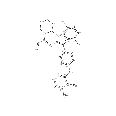 C=CC(=O)N1CCCCC1c1nc(-c2ccc(Oc3cccc(OC)c3F)cc2)c2c(C)ncc(C)n12